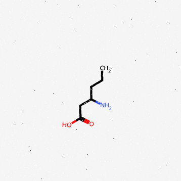 [CH2]CCC(N)CC(=O)O